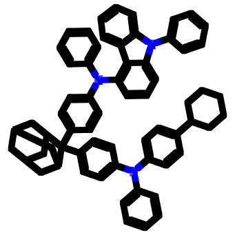 c1ccc(N(c2ccc(C3CCCCC3)cc2)c2ccc(C3(c4ccc(N(c5ccccc5)c5cccc6c5c5ccccc5n6-c5ccccc5)cc4)C4CC5CC(C4)CC3C5)cc2)cc1